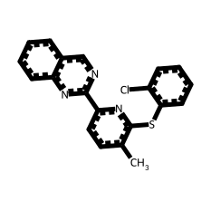 Cc1ccc(-c2ncc3ccccc3n2)nc1Sc1ccccc1Cl